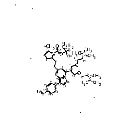 CC1CCC(CCc2cc(N(COCC[Si](C)(C)C)COCC[Si](C)(C)C)n3ncc(-c4ccc(C=O)nc4)c3n2)N1C(=O)OC(C)(C)C